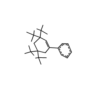 CC(C)(C)C1(C(C)(C)C)C=C(c2ccccc2)CC(C(C)(C)C)(C(C)(C)C)C1